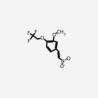 COc1cc(/C=C/[N+](=O)[O-])ccc1OCC(F)(F)F